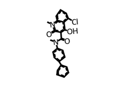 CN(C(=O)c1c(O)c2c(Cl)cccc2n(C)c1=O)c1ccc(-c2ccccc2)cc1